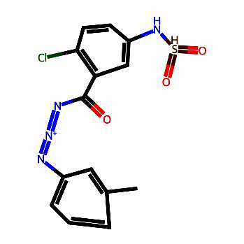 Cc1cccc(N=[N+]=NC(=O)c2cc(N[SH](=O)=O)ccc2Cl)c1